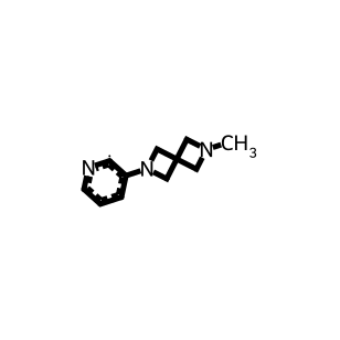 CN1CC2(C1)CN(c1[c]nccc1)C2